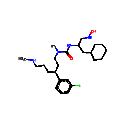 CC(C)N(CCC(CCCNC(=O)O)c1cccc(Cl)c1)C(=O)NC(CNO)CC1CCCCC1